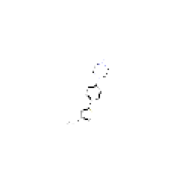 CNc1csc(-c2ccc(N3CCN(C)CC3)cc2)c1